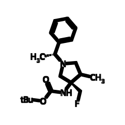 CC1CN([C@H](C)c2ccccc2)C[C@@]1(CF)NC(=O)OC(C)(C)C